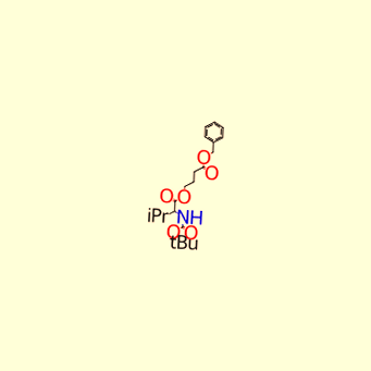 CC(C)C(NC(=O)OC(C)(C)C)C(=O)OCCCC(=O)OCc1ccccc1